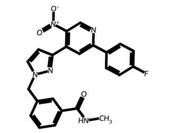 CNC(=O)c1cccc(Cn2ccc(-c3cc(-c4ccc(F)cc4)ncc3[N+](=O)[O-])n2)c1